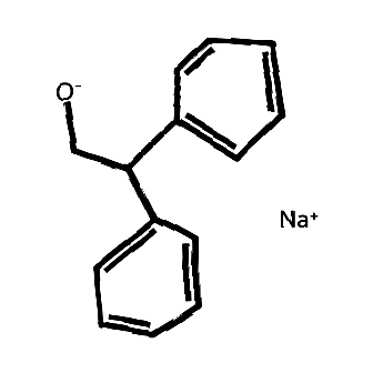 [Na+].[O-]CC(c1ccccc1)c1ccccc1